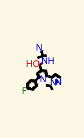 CC(C)n1nccc1-c1cc(C(O)NC(C)(C)C#N)cc(-c2ccc(F)cc2)n1